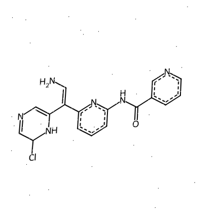 N/C=C(\C1=CN=CC(Cl)N1)c1cccc(NC(=O)c2cccnc2)n1